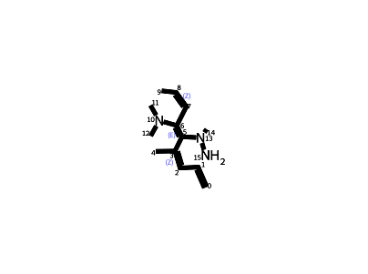 C=C\C=C(C)/C(=C(/C=C\C)N(C)C)N(C)N